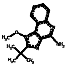 COn1c(C(C)(C)C)nc2c(N)nc3ccccc3c21